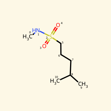 CNS(=O)(=O)CCCC(C)C